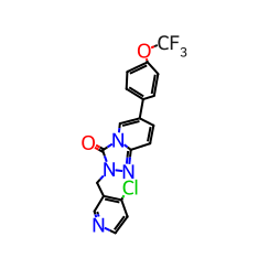 O=c1n(Cc2cnccc2Cl)nc2ccc(-c3ccc(OC(F)(F)F)cc3)cn12